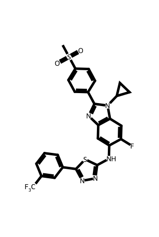 CS(=O)(=O)c1ccc(-c2nc3cc(Nc4nnc(-c5cccc(C(F)(F)F)c5)s4)c(F)cc3n2C2CC2)cc1